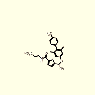 CCC[C@@H](Oc1cc(C)c(-c2ccc(C(F)(F)F)cc2)c(C)c1)c1ccc(C(=O)NCCC(=O)O)s1